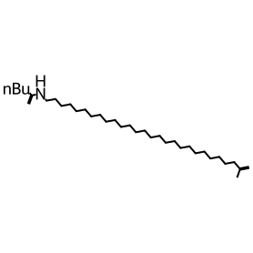 C=C(C)CCCCCCCCCCCCCCCCCCCCCCCCCCNC(=C)CCCC